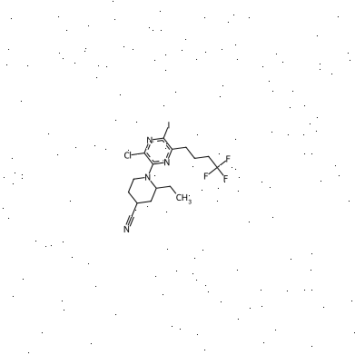 CCC1CC(C#N)CCN1c1nc(CCCC(F)(F)F)c(I)nc1Cl